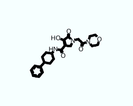 O=C(NC1CCC(c2ccccc2)CC1)C1=C(O)C(=O)N(CC(=O)N2CCOCC2)C1